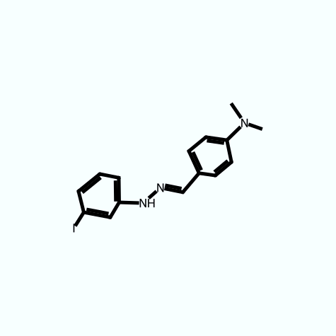 CN(C)c1ccc(/C=N/Nc2cccc(I)c2)cc1